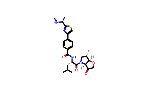 CN[C@@H](C)c1nc(-c2ccc(C(=O)N[C@@H](CC(C)C)C(=O)N3C[C@H](F)[C@H]4OCC(=O)[C@H]43)cc2)cs1